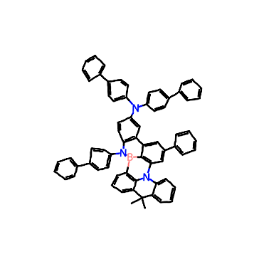 CC1(C)c2ccccc2N2c3cc(-c4ccccc4)cc4c3B(c3cccc1c32)N(c1ccc(-c2ccccc2)cc1)c1ccc(N(c2ccc(-c3ccccc3)cc2)c2ccc(-c3ccccc3)cc2)cc1-4